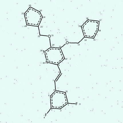 Fc1cc(F)cc(/C=C/c2cc(OCc3ccccc3)c(OCc3ccccc3)nn2)c1